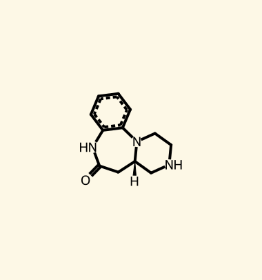 O=C1C[C@H]2CNCCN2c2ccccc2N1